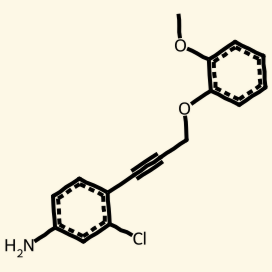 COc1ccccc1OCC#Cc1ccc(N)cc1Cl